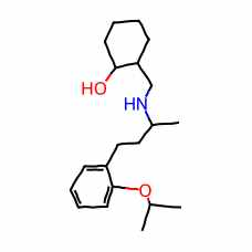 CC(CCc1ccccc1OC(C)C)NCC1CCCCC1O